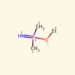 CCOP(C)(C)=N